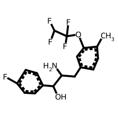 Cc1ccc(CC(N)C(O)c2ccc(F)cc2)cc1OC(F)(F)C(F)F